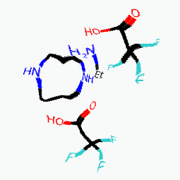 C1CNCCN1.CCN.O=C(O)C(F)(F)F.O=C(O)C(F)(F)F